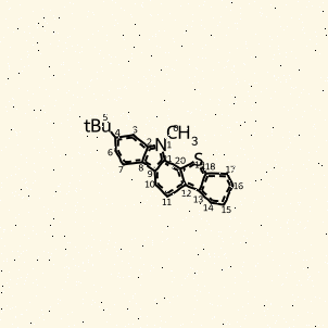 Cn1c2cc(C(C)(C)C)ccc2c2ccc3c4ccccc4sc3c21